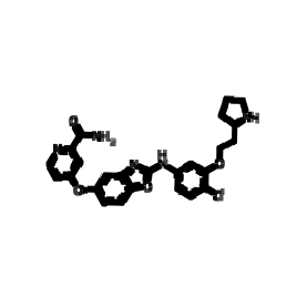 NC(=O)c1cc(Oc2ccc3oc(Nc4ccc(Cl)c(OCCC5CCCN5)c4)nc3c2)ccn1